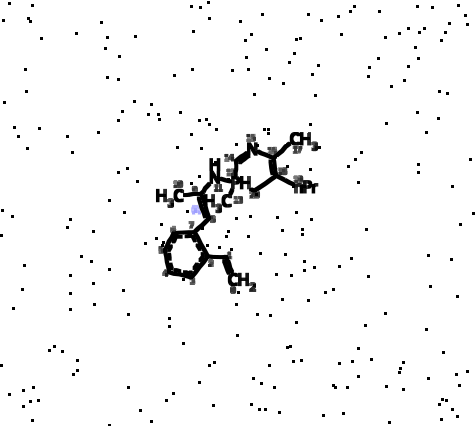 C=Cc1ccccc1/C=C(\C)N[PH]1(C)C=NC(C)=C(CCC)C1